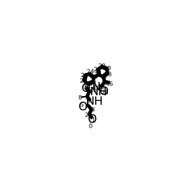 COCCC(=O)N[C@@H](C)C(=O)NN1C(=O)C(C)c2ccccc2-c2ccccc21